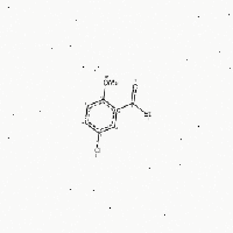 CCC(=O)c1cc(Cl)ccc1OC